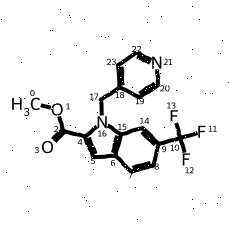 COC(=O)c1cc2ccc(C(F)(F)F)cc2n1Cc1ccncc1